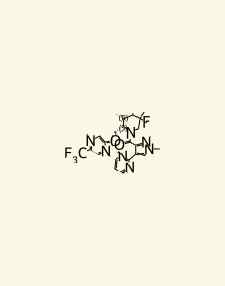 C[C@@H]1CC(C)(F)CN(C(=O)c2nn(C)cc2-c2ncccn2)[C@@H]1COc1cnc(C(F)(F)F)cn1